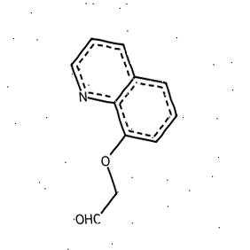 O=[C]COc1cccc2cccnc12